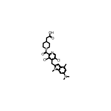 Cc1cc(N(C)C)cc2c1cc(Cc1c(Cl)cnc(C(=O)N3CCC(CC(=O)O)CC3)c1Cl)n2C